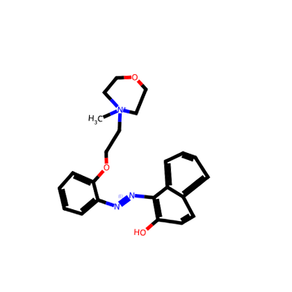 C[N+]1(CCOc2ccccc2/N=N/c2c(O)ccc3ccccc23)CCOCC1